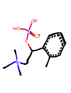 Cc1ccccc1C(C[N+](C)(C)C)OP(=O)(O)O